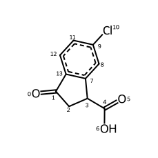 O=C1CC(C(=O)O)c2cc(Cl)ccc21